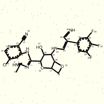 CC(=N)/N=C(\Nc1cc(Cl)cnc1C#N)C1OC2COC2C(N/C=C(\C=N)c2cc(F)c(F)c(F)c2)C1O